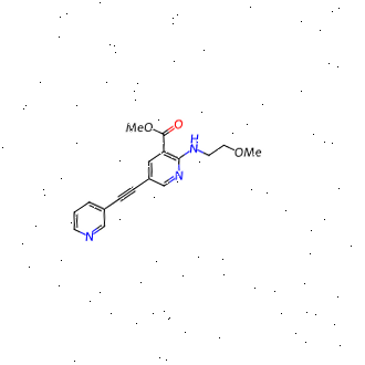 COCCNc1ncc(C#Cc2cccnc2)cc1C(=O)OC